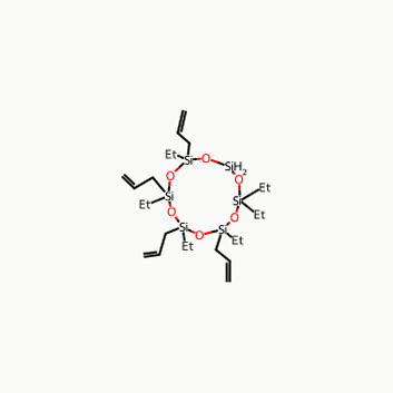 C=CC[Si]1(CC)O[SiH2]O[Si](CC)(CC)O[Si](CC)(CC=C)O[Si](CC)(CC=C)O[Si](CC)(CC=C)O1